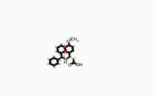 COc1ccc([C@H](CC(=O)O)NC(c2ccccc2)c2ccccc2)cc1